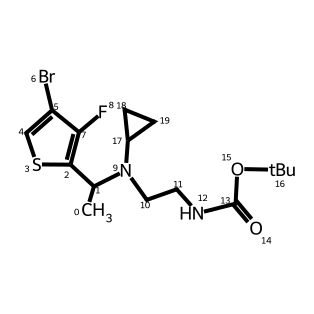 CC(c1scc(Br)c1F)N(CCNC(=O)OC(C)(C)C)C1CC1